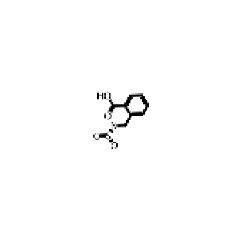 O=C(O)c1ccccc1CN=S(=O)=O